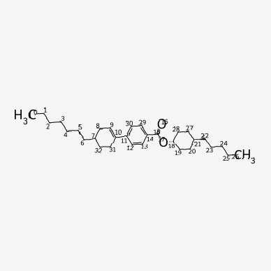 CCCCCCCC1CC=C(c2ccc(C(=O)O[C@H]3CC[C@H](CCCCC)CC3)cc2)CC1